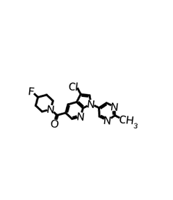 Cc1ncc(-n2cc(Cl)c3cc(C(=O)N4CCC(F)CC4)cnc32)cn1